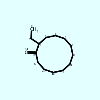 CCC1CCCCCCCCCCC1=O